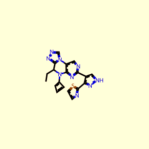 CCC1c2nncn2-c2cnc(-c3c[nH]nc3-c3nccs3)nc2N1C1=CC=C1